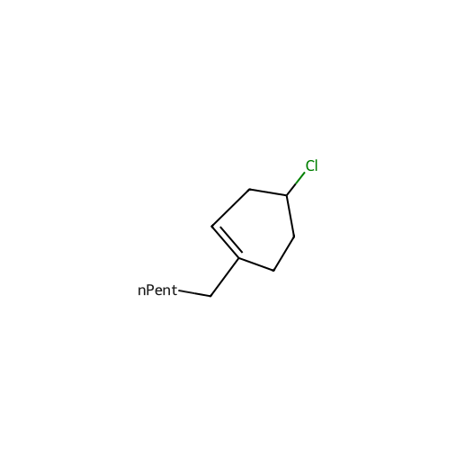 CCCCCCC1=CCC(Cl)CC1